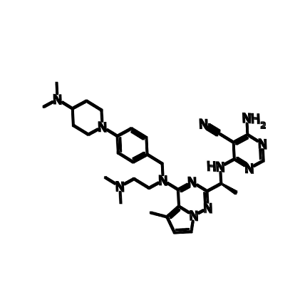 Cc1ccn2nc([C@H](C)Nc3ncnc(N)c3C#N)nc(N(CCN(C)C)Cc3ccc(N4CCC(N(C)C)CC4)cc3)c12